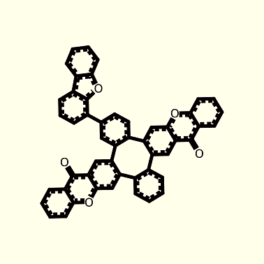 O=c1c2ccccc2oc2cc3c(cc12)-c1ccccc1-c1cc2oc4ccccc4c(=O)c2cc1-c1cc(-c2cccc4c2oc2ccccc24)ccc1-3